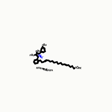 CCCCCCCCCCCCCCCCCCCCCCCCC#CCCc1ccccc1C1=C(CCCC)C(CCCC)=C(c2cccc(CCCC)c2)[N+]1=[N-].CCCCC[CH2][Pd][CH2]CCCCC